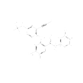 CC#Cc1cc(OC(F)(F)F)ccc1Oc1cc(Cl)c(Cl)cc1C(=O)Nc1ccc[n+]([O-])c1